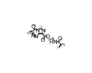 C=C(C)C(=O)NCCOC(=O)c1ncn2c(=O)n(C)nnc12